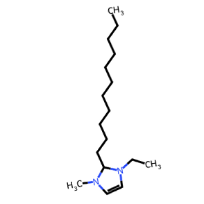 CCCCCCCCCCCC1N(C)C=CN1CC